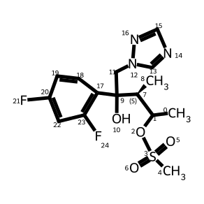 CC(OS(C)(=O)=O)[C@H](C)C(O)(Cn1cncn1)c1ccc(F)cc1F